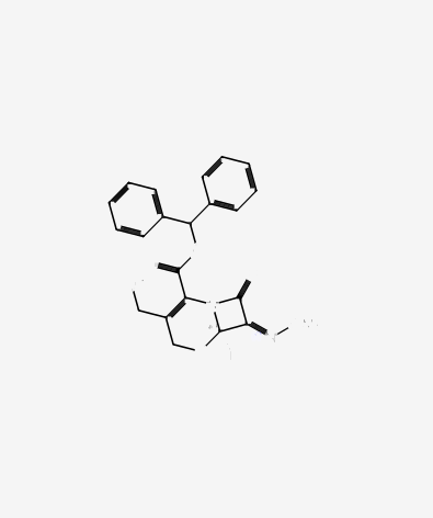 CO/N=C1\C(=O)N2C(C(=O)OC(c3ccccc3)c3ccccc3)=C(COC(C)=O)CS[C@H]12